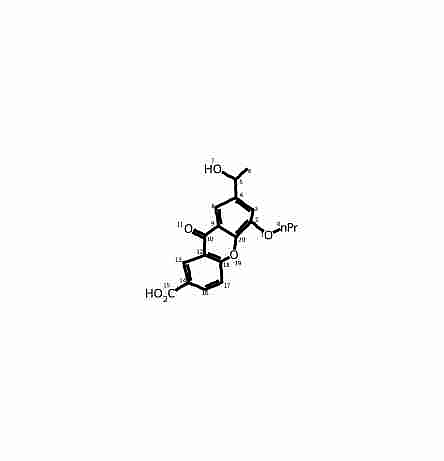 CCCOc1cc(C(C)O)cc2c(=O)c3cc(C(=O)O)ccc3oc12